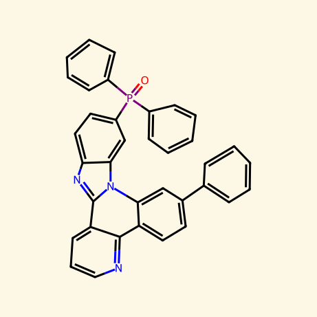 O=P(c1ccccc1)(c1ccccc1)c1ccc2nc3c4cccnc4c4ccc(-c5ccccc5)cc4n3c2c1